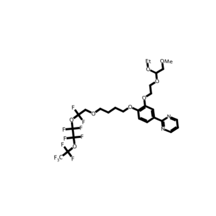 CCOC(COC)OCCOc1cc(-c2ncccn2)ccc1OCCCCOCC(F)(F)OC(F)(F)C(F)(F)OC(F)(F)C(F)(F)F